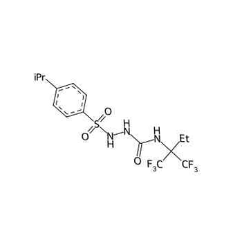 CCC(NC(=O)NNS(=O)(=O)c1ccc(C(C)C)cc1)(C(F)(F)F)C(F)(F)F